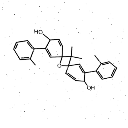 Cc1ccccc1C1=CC2(C=CC1O)OC1(C=CC(O)C(c3ccccc3C)=C1)C2(C)C